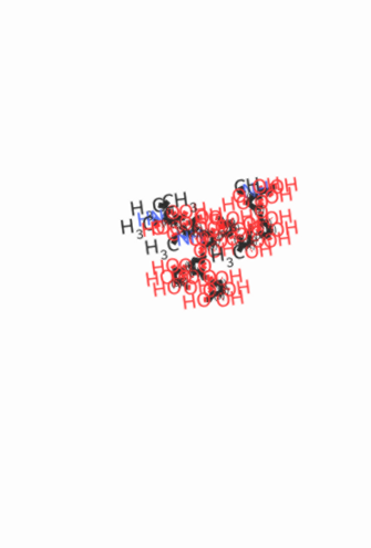 CC(=O)NC1[C@H](O[C@@H]2C(CO)O[C@@H](C(C)C)C(NC(C)=O)[C@H]2O)OC(CO)[C@@H](O[C@@H]2OC(OCC3C[C@@H](OC4O[C@@H](CO)[C@@H](O)C(O)C4O)[C@H](O)C(COC4OC(CO)[C@@H](O)[C@H](O)[C@H]4O)O3)[C@@H](O)[C@H](O[C@H]3OC(CO)[C@@H](O)[C@H](O)C3O[C@@H]3OC(CO)[C@@H](O[C@@H]4OC(CO[C@@H]5CC(O)[C@@H](NC(C)=O)C(C(O)C(O)CO)O5)[C@H](O)[C@H](O)C4O)[C@H](O)C3C)C2O)[C@@H]1O